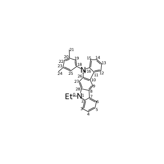 CCn1c2ccccc2c2cc3c4ccccc4n(-c4cc(C)cc(C)c4)c3cc21